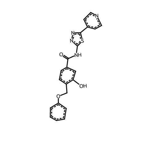 O=C(Nc1nnc(-c2ccncc2)s1)c1ccc(COc2ccccc2)c(O)c1